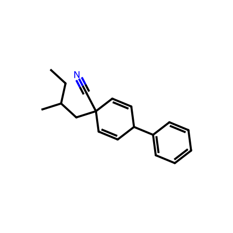 CCC(C)CC1(C#N)C=CC(c2ccccc2)C=C1